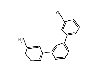 BC1=CC(c2cccc(-c3cccc(Cl)c3)c2)=CCC1